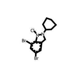 ClN1c2c(Br)cc(Br)cc2CN1C1CCCCC1